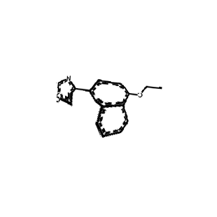 CCOc1ccc(-c2cs[c]n2)c2ccccc12